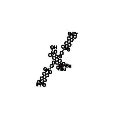 CCCCOC(=O)c1ccc2c3c(Oc4ccc(CCN5C(=O)c6ccc7c8ccc9c%10c(ccc(c%11ccc(c6c7%11)C5=O)c%108)C(=O)N(C(C)C)C9=O)cc4)cc4c5c(ccc(c6c(Oc7ccc(CCN8C(=O)c9ccc%10c%11ccc%12c%13c(ccc(c%14ccc(c9c%10%14)C8=O)c%13%11)C(=O)N(C(C)C)C%12=O)cc7)cc(C(=O)OCCCC)c1c26)c53)C(=O)N(CCCO)C4=O